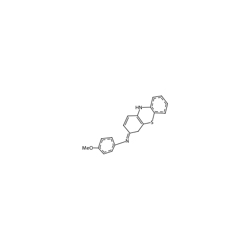 COc1ccc(N=C2C=CC3=C(C2)Sc2ccccc2N3)cc1